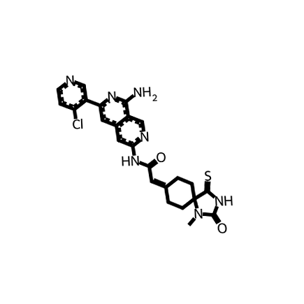 CN1C(=O)NC(=S)C12CCC(=CC(=O)Nc1cc3cc(-c4cnccc4Cl)nc(N)c3cn1)CC2